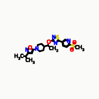 CC(C)c1cc(N2CCC(C(C)Oc3nsc(-c4ccc(S(C)(=O)=O)nc4)n3)CC2)on1